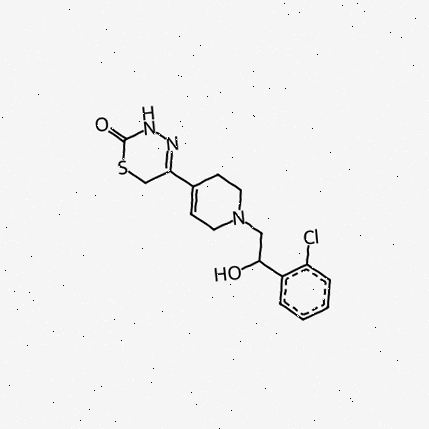 O=C1NN=C(C2=CCN(CC(O)c3ccccc3Cl)CC2)CS1